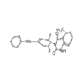 Cc1cccc2[nH]c(=O)n(-c3c(F)cc(C#Cc4ccccc4)cc3F)c(=O)c12